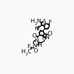 C=C(F)C(=O)N1CCN2C(=O)c3cc(F)c(-c4ccc(F)c5sc(N)c(C#N)c45)c4c(Cl)nn(c34)CC[C@H]2C1